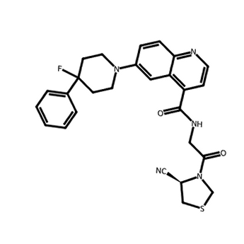 N#C[C@@H]1CSCN1C(=O)CNC(=O)c1ccnc2ccc(N3CCC(F)(c4ccccc4)CC3)cc12